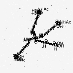 CC(=O)N[C@H]1[C@H]2OC[C@](COCCOCCOCCOCCn3cc(COCC(COCC4=CN(CCOCCOCCOCCOC[C@@]56COC(O5)[C@H](NC(C)=O)[C@@H](O)[C@H]6O)NN4)(COCc4cn(CCOCCOCCOCCOC[C@@]56COC(O5)[C@H](NC(C)=O)[C@@H](O)[C@H]6O)nn4)NC(=O)CCCCCNC(=O)CCCCCC(=O)NC(CO)CO)nn3)(O2)[C@H](O)[C@@H]1O